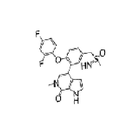 Cn1cc(-c2cc(CS(C)(=N)=O)ccc2Oc2ccc(F)cc2F)c2cc[nH]c2c1=O